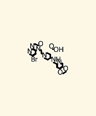 O=CO.O=c1cnc2ncc(Br)cc2n1CCN1CCC(NCc2cc3c(cn2)OCCO3)CC1